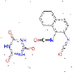 O=C=Nc1ccc2ccccc2c1N=C=O.O=c1[nH]c(=O)[nH]c(=O)[nH]1